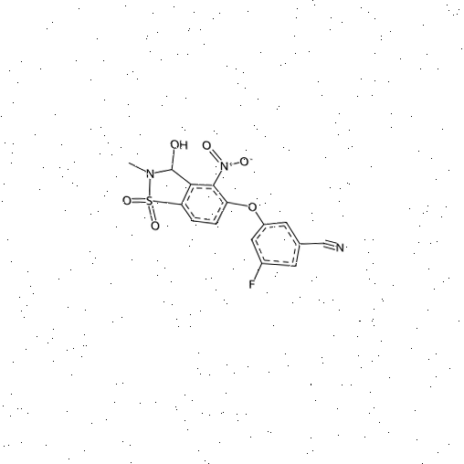 CN1C(O)c2c(ccc(Oc3cc(F)cc(C#N)c3)c2[N+](=O)[O-])S1(=O)=O